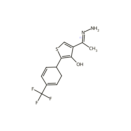 C/C(=N\N)c1csc(C2C=CC(C(F)(F)F)=CC2)c1O